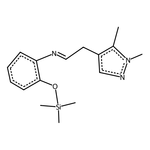 Cc1c(CC=Nc2ccccc2O[Si](C)(C)C)cnn1C